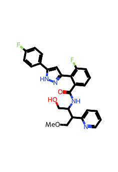 COCC(c1ccccn1)C(CO)NC(=O)c1cccc(F)c1-c1cc(-c2ccc(F)cc2)[nH]n1